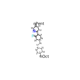 CCCCCCCC[C@H]1CC[C@H](CCc2ccc(-c3ccc(CCCCC)cn3)c(F)c2)CC1